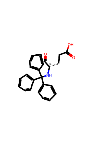 O=[C][C@H](CCC(=O)O)NC(c1ccccc1)(c1ccccc1)c1ccccc1